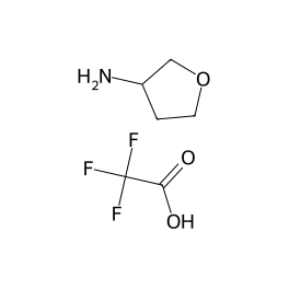 NC1CCOC1.O=C(O)C(F)(F)F